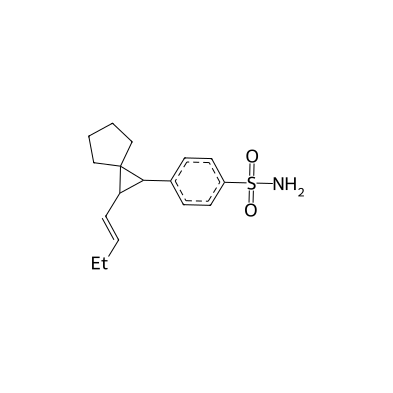 CC/C=C/C1C(c2ccc(S(N)(=O)=O)cc2)C12CCCC2